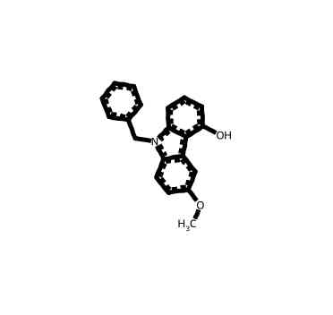 COc1ccc2c(c1)c1c(O)cccc1n2Cc1ccccc1